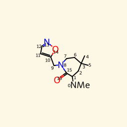 CNC1CC(C)(C)CCN(Cc2ccno2)C1=O